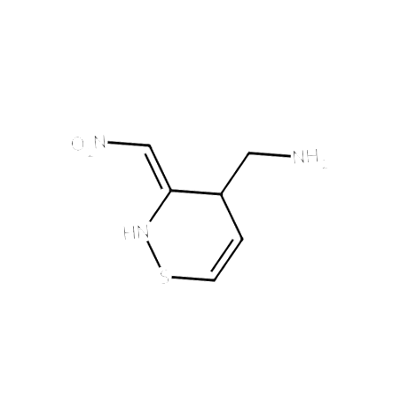 NCC1C=CSNC1=C[N+](=O)[O-]